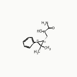 CC1(C)[C@@H](CN(O)C(N)=O)[C@@H]1c1ccccc1